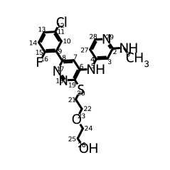 CNc1cc(Nc2cc(-c3cc(Cl)ccc3F)nnc2SCCOCCO)ccn1